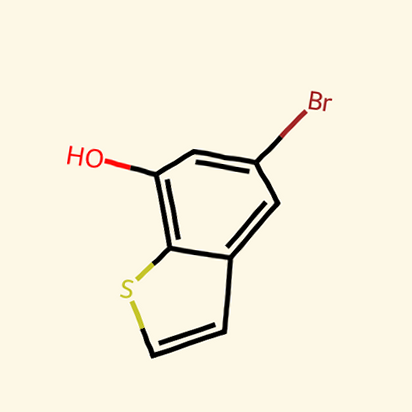 Oc1cc(Br)cc2ccsc12